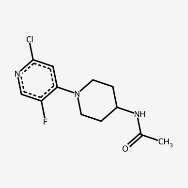 CC(=O)NC1CCN(c2cc(Cl)ncc2F)CC1